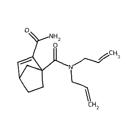 C=CCN(CC=C)C(=O)C12CCC(C=C1C(N)=O)C2